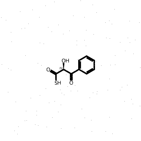 O=C(S)[C@@H](O)C(=O)c1ccccc1